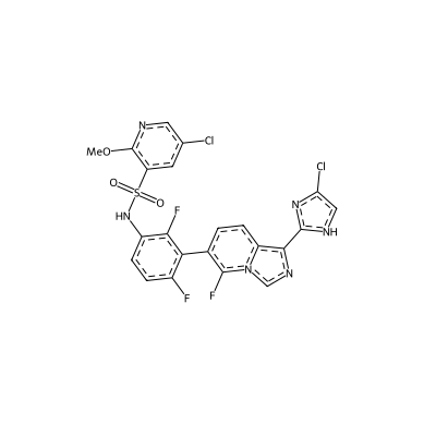 COc1ncc(Cl)cc1S(=O)(=O)Nc1ccc(F)c(-c2ccc3c(-c4nc(Cl)c[nH]4)ncn3c2F)c1F